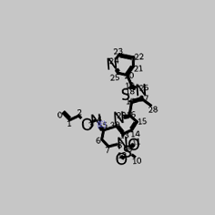 C=CCO/N=C1\CCN(S(C)(=O)=O)c2ccc(-c3sc(-c4cccnc4)nc3C)nc21